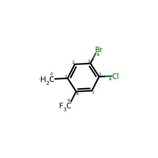 [CH2]c1cc(Br)c(Cl)cc1C(F)(F)F